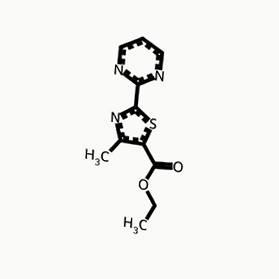 CCOC(=O)c1sc(-c2ncccn2)nc1C